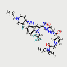 CCN1CC[C@@H](Nc2cccc3c2cc(-c2noc(CNC(=O)c4ccn(CC(=O)N(C)C)c4)n2)n3CC(F)(F)F)[C@@H](F)C1